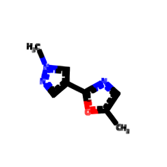 Cc1cnc(-c2cnn(C)c2)o1